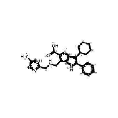 Cc1nnc(CNCc2c(C(=O)O)sc3c(C4CCCCC4)c(-c4ccccc4)[nH]c23)[nH]1